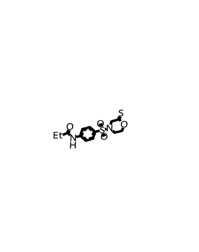 CCC(=O)Nc1ccc(S(=O)(=O)N2CCOC(=S)C2)cc1